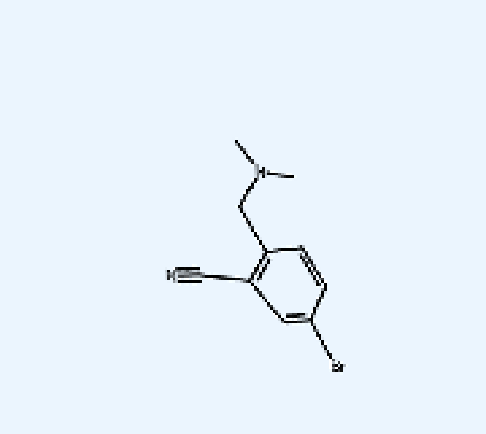 CN(C)Cc1ccc(Br)cc1C#N